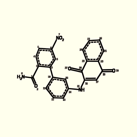 NC(=O)c1ccc([N+](=O)[O-])cc1-c1cccc(NC2=CC(=O)c3ccccc3C2=O)c1